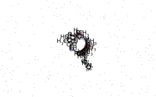 CO[C@H]1/C=C/O[C@@]2(C)Oc3c(C)c(O)c4c(c3C2=O)C(=O)C(N2CCOCC2)=C(NC(=O)/C(C)=C\C=C\[C@H](C)[C@H](O)[C@@H](C)[C@@H](O)[C@@H](C)[C@H](OC(=O)NCc2cc(-c3ccccn3)no2)[C@@H]1C)C4=O